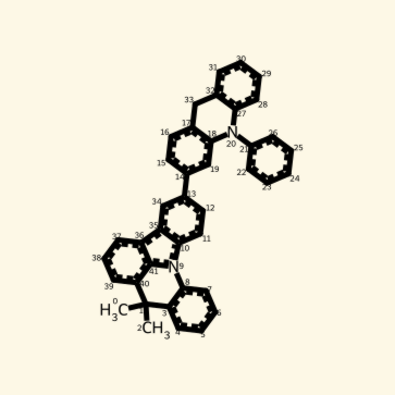 CC1(C)c2ccccc2-n2c3ccc(-c4ccc5c(c4)N(c4ccccc4)c4ccccc4C5)cc3c3cccc1c32